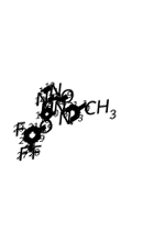 CCc1ccnc(NC(=O)c2nccnc2N2CC(Oc3cc(F)cc(C(F)F)c3)C2)c1